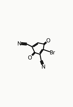 N#CC1=CC(=O)C(Br)=C(C#N)C1=O